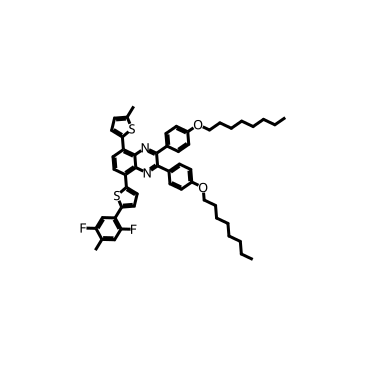 CCCCCCCCOc1ccc(-c2nc3c(-c4ccc(C)s4)ccc(-c4ccc(-c5cc(F)c(C)cc5F)s4)c3nc2-c2ccc(OCCCCCCCC)cc2)cc1